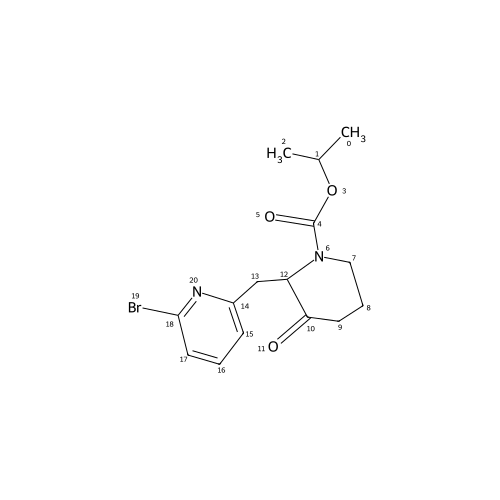 CC(C)OC(=O)N1CCCC(=O)C1Cc1cccc(Br)n1